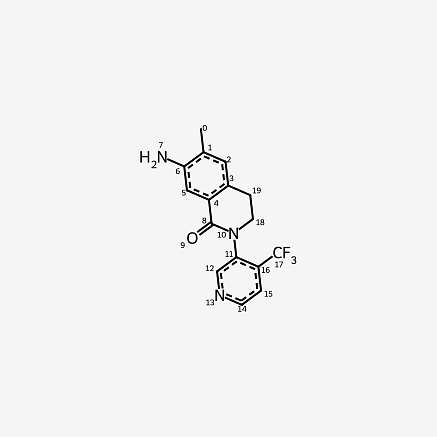 Cc1cc2c(cc1N)C(=O)N(c1cnccc1C(F)(F)F)CC2